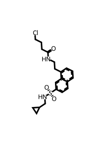 O=C(CCCCl)NCCc1cccc2ccc(S(=O)(=O)NCC3CC3)cc12